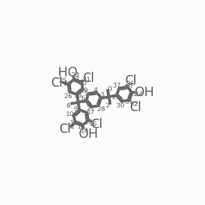 CC(C)(c1ccc(C(C)(c2cc(Cl)c(O)c(Cl)c2)c2cc(Cl)c(O)c(Cl)c2)cc1)c1cc(Cl)c(O)c(Cl)c1